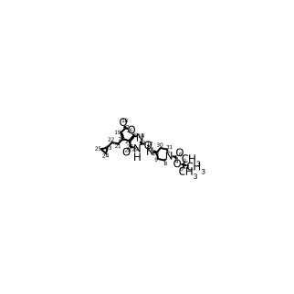 CC(C)(C)OC(=O)N1CCC(=NOc2nc3oc(=O)cc(CCC4CC4)c3c(=O)[nH]2)CC1